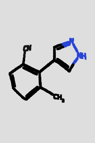 Cc1cccc(C#N)c1-c1cn[nH]c1